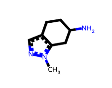 Cn1ncc2c1CC(N)CC2